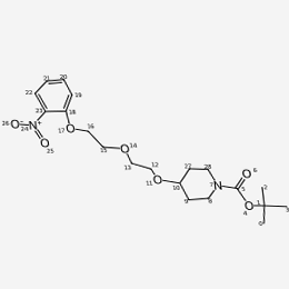 CC(C)(C)OC(=O)N1CCC(OCCOCCOc2ccccc2[N+](=O)[O-])CC1